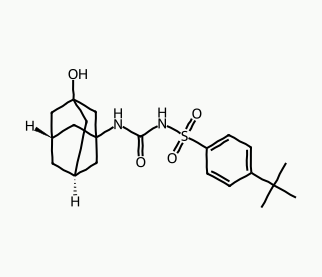 CC(C)(C)c1ccc(S(=O)(=O)NC(=O)NC23C[C@@H]4C[C@@H](CC(O)(C4)C2)C3)cc1